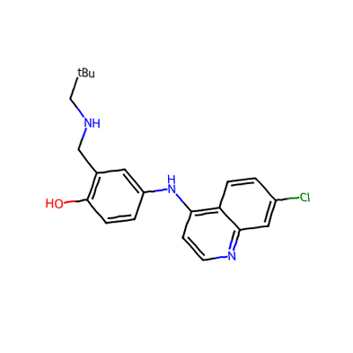 CC(C)(C)CNCc1cc(Nc2ccnc3cc(Cl)ccc23)ccc1O